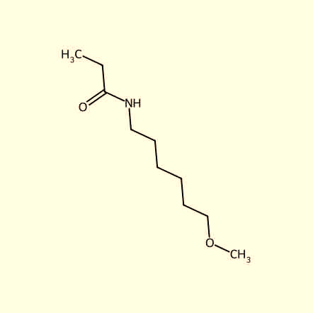 CCC(=O)NCCCCCCOC